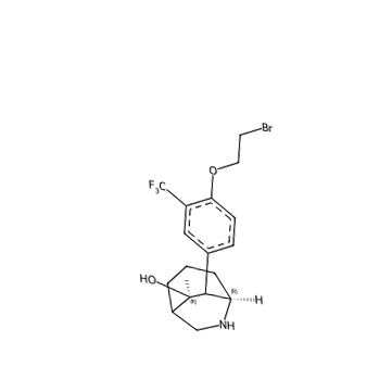 C[C@@]1(O)C2CCC[C@@H](NC2)C1c1ccc(OCCBr)c(C(F)(F)F)c1